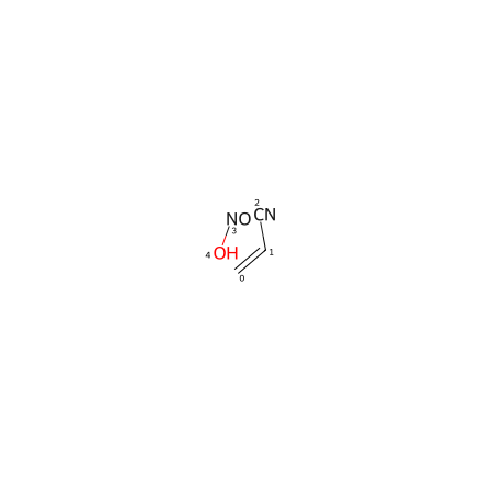 C=CC#N.O=NO